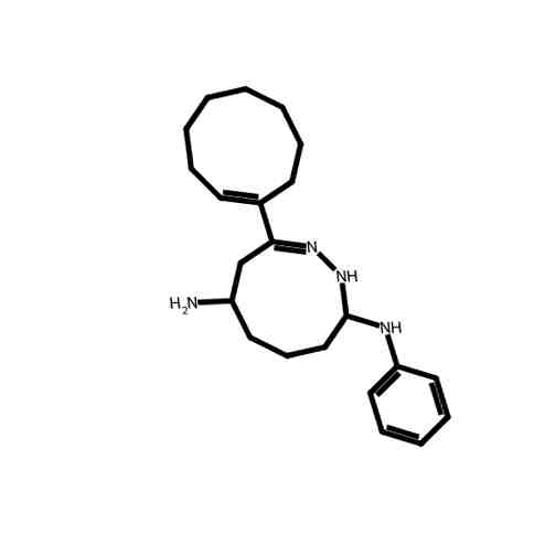 NC1CCCC(Nc2ccccc2)NN=C(C2=CCCCCCCC2)C1